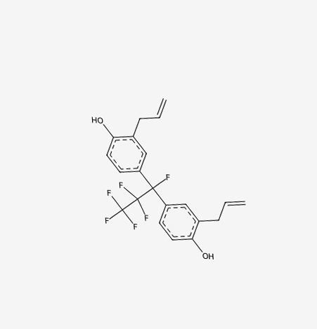 C=CCc1cc(C(F)(c2ccc(O)c(CC=C)c2)C(F)(F)C(F)(F)F)ccc1O